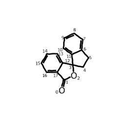 O=C1OC2(CCc3ccccc32)c2ccccc21